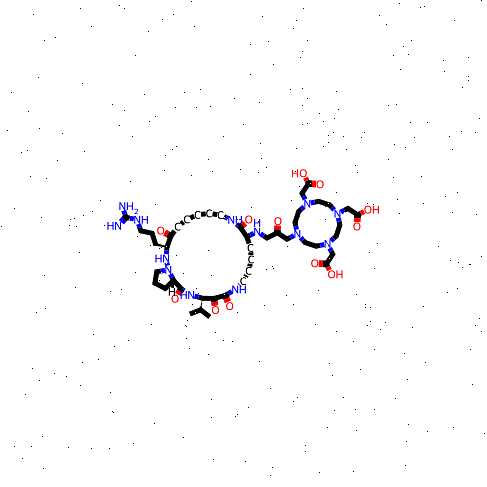 CC(C)[C@@H]1NC(=O)[C@@H]2CCCN2N[C@@H](CCCNC(=N)N)C(=O)CCCCCNC(=O)C(NCC(=O)CN2CCN(CC(=O)O)CCN(CC(=O)O)CCN(CC(=O)O)CC2)CCCCNC(=O)C1=O